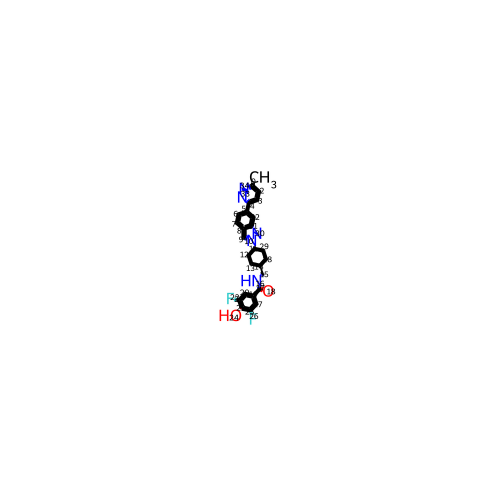 Cc1ccc(-c2ccc3cn([C@H]4CC[C@H](CNC(=O)c5cc(F)c(O)c(F)c5)CC4)nc3c2)nn1